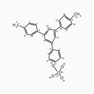 Cc1ccc(-c2cc(-c3ccccc3)cc(-c3ccc(C)cc3)[s+]2)cc1.[O-][Cl+3]([O-])([O-])[O-]